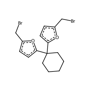 BrCc1ccc(C2(c3ccc(CBr)o3)CCCCC2)o1